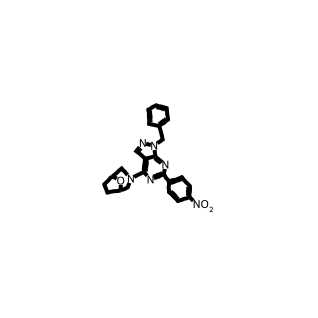 O=[N+]([O-])c1ccc(-c2nc(N3CC4CCC(C3)O4)c3cnn(Cc4ccccc4)c3n2)cc1